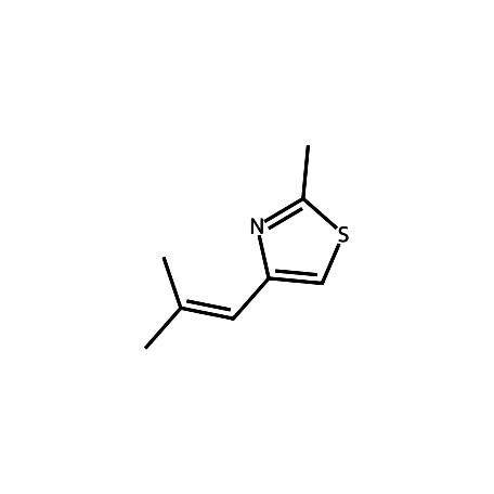 CC(C)=Cc1csc(C)n1